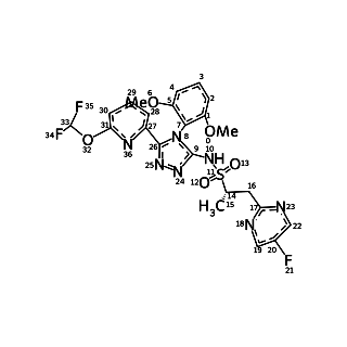 COc1cccc(OC)c1-n1c(NS(=O)(=O)[C@@H](C)Cc2ncc(F)cn2)nnc1-c1cccc(OC(F)F)n1